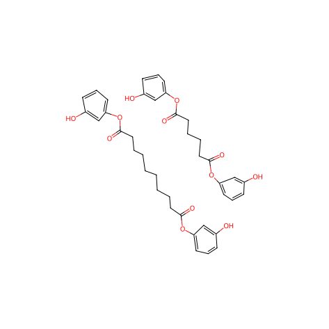 O=C(CCCCC(=O)Oc1cccc(O)c1)Oc1cccc(O)c1.O=C(CCCCCCCCC(=O)Oc1cccc(O)c1)Oc1cccc(O)c1